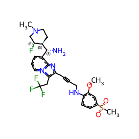 COc1cc(S(C)(=O)=O)ccc1NCC#Cc1nc2c([C@@H](N)[C@@H]3CCN(C)C[C@@H]3F)cccn2c1CC(F)(F)F